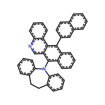 c1ccc2c(c1)CCc1ccccc1N2c1c2ccccc2c(-c2ccc3ccccc3c2)c2c1cnc1ccccc12